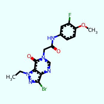 CCn1nc(Br)c2ncn(CC(=O)Nc3ccc(OC)c(F)c3)c(=O)c21